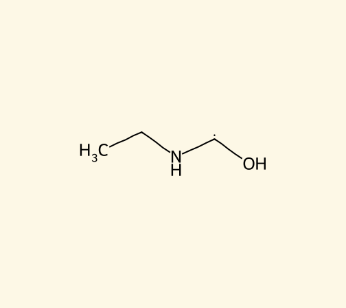 CCN[CH]O